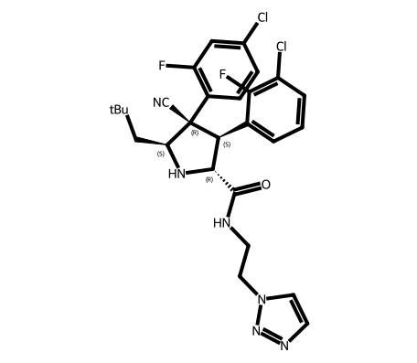 CC(C)(C)C[C@@H]1N[C@@H](C(=O)NCCn2ccnn2)[C@H](c2cccc(Cl)c2F)[C@@]1(C#N)c1ccc(Cl)cc1F